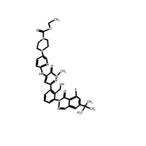 CCOC(=O)N1CCN(c2ccc(Nc3cc(-c4cccc(-n5ncc6cc(C(C)(C)C)cc(F)c6c5=O)c4CO)nn(C)c3=O)nc2)CC1